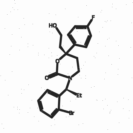 CC[C@@H](c1ccccc1Br)N1CC[C@@](CCO)(c2ccc(F)cc2)OC1=O